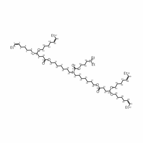 CC/C=C\CCCCOC(CCC(=O)OCCCCCCCN(CCCCCCCOC(=O)CCC(OCCCC/C=C\CC)OCCCC/C=C\CC)C(=O)OCCCN(CC)CC)OCCCC/C=C\CC